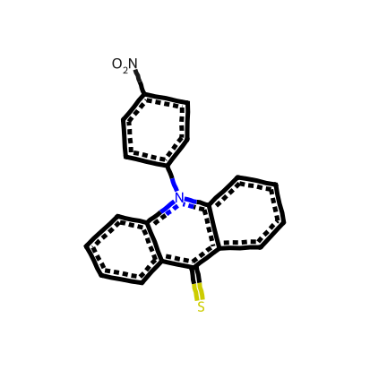 O=[N+]([O-])c1ccc(-n2c3ccccc3c(=S)c3ccccc32)cc1